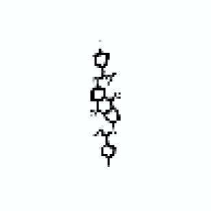 CN(C)C(=Nc1ccc2c(c1)C(=O)c1ccc(N=C(c3ccc(F)cc3)N(C)C)cc1C2=O)c1ccc(F)cc1